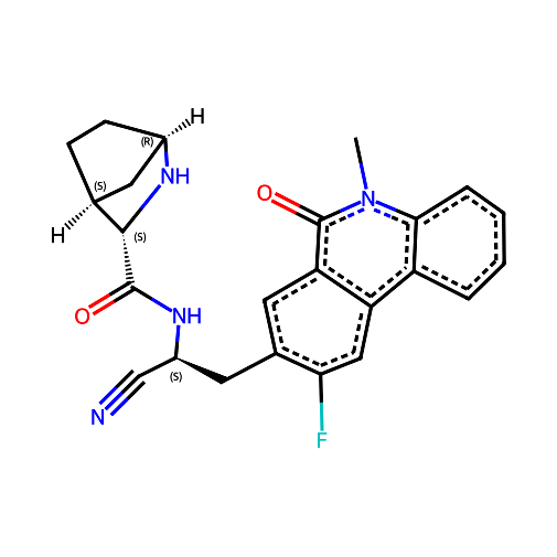 Cn1c(=O)c2cc(C[C@@H](C#N)NC(=O)[C@H]3N[C@@H]4CC[C@H]3C4)c(F)cc2c2ccccc21